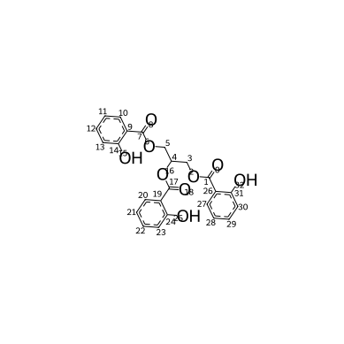 O=C(OCC(COC(=O)c1ccccc1O)OC(=O)c1ccccc1O)c1ccccc1O